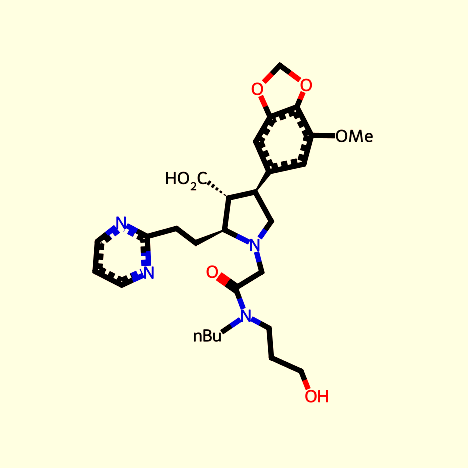 CCCCN(CCCO)C(=O)CN1C[C@H](c2cc(OC)c3c(c2)OCO3)[C@@H](C(=O)O)[C@@H]1CCc1ncccn1